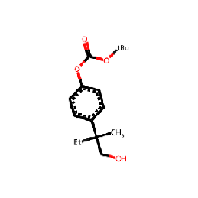 CCC(C)(CO)c1ccc(OC(=O)OC(C)(C)C)cc1